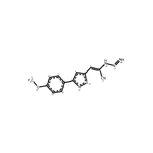 N#C/C(=C\c1cc(-c2ccc(OC(F)(F)F)cc2)ns1)NN=N